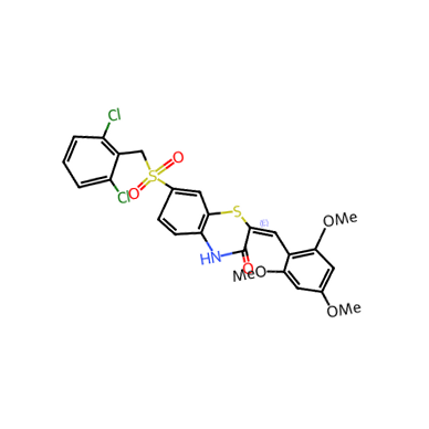 COc1cc(OC)c(/C=C2/Sc3cc(S(=O)(=O)Cc4c(Cl)cccc4Cl)ccc3NC2=O)c(OC)c1